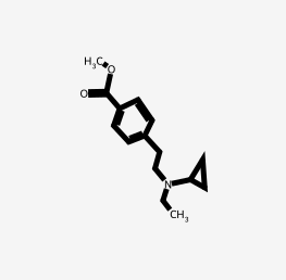 CCN(CCc1ccc(C(=O)OC)cc1)C1CC1